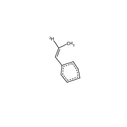 [2H]C(C)=Cc1ccccc1